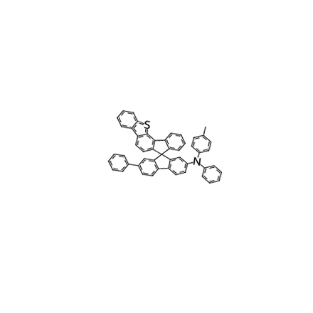 Cc1ccc(N(c2ccccc2)c2ccc3c(c2)C2(c4cc(-c5ccccc5)ccc4-3)c3ccccc3-c3c2ccc2c3sc3ccccc32)cc1